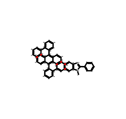 Cn1c(-c2ccccc2)nc2cc(-c3ccc4c(-c5ccccc5-c5ccccc5)c5ccccc5c(-c5ccccc5-c5ccccc5)c4c3)ccc21